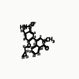 Cn1cc(-c2cc3c(cc2OCC2CC2)CN[S+]3[O-])c2ccccc2c1=O